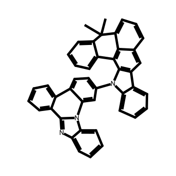 CC1(C)c2ccccc2-c2c3c1cccc3cc1c3ccccc3n(-c3ccc4c5ccccc5c5nc6ccccc6n5c4c3)c21